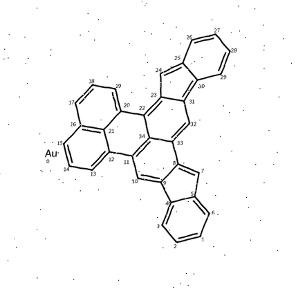 [Au].c1ccc2c(c1)cc1c2cc2c3cccc4cccc(c43)c3c4cc5ccccc5c4cc1c23